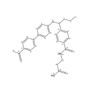 CCCC(Oc1ccc(-c2ccc(C(C)=O)cc2)cc1)c1ccc(C(=O)NCCC(=O)O)cc1